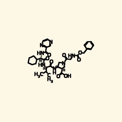 CC(C)[C@H](NC(=O)[C@@H](NC(=O)c1cnccn1)C1CCCCC1)C(=O)N[C@H]1CN(C(=O)CNC(=O)OCc2ccccc2)C[C@H]1C(=O)O